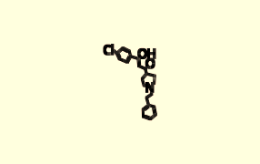 O=C(C=C(O)c1ccc(Cl)cc1)C1CCN(CCc2ccccc2)CC1